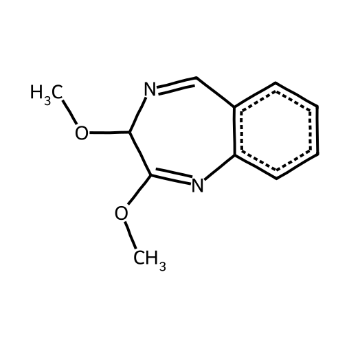 COC1=Nc2ccccc2C=NC1OC